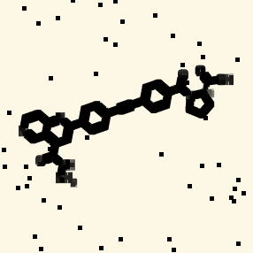 NNC(=O)c1cc(-c2ccc(C#Cc3ccc(C(=O)N4CCC[C@H]4C(=O)O)cc3)cc2)nc2ccncc12